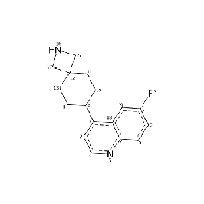 Fc1ccc2nccc(C3CCC4(CC3)CNC4)c2c1